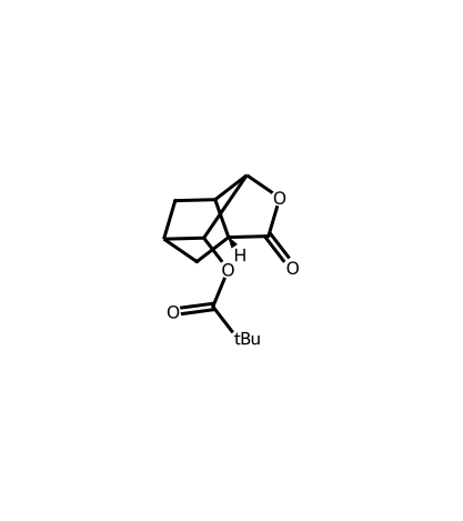 CC(C)(C)C(=O)OC1C2CC3C1OC(=O)[C@@H]3C2